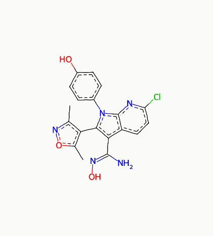 Cc1noc(C)c1-c1c(/C(N)=N/O)c2ccc(Cl)nc2n1-c1ccc(O)cc1